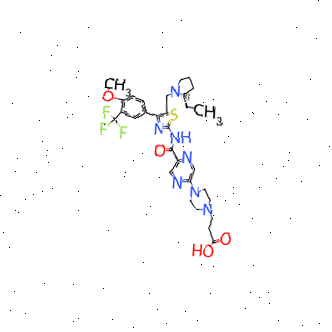 CC[C@@H]1CCCN1Cc1sc(NC(=O)c2cnc(N3CCN(CCC(=O)O)CC3)cn2)nc1-c1ccc(OC)c(C(F)(F)F)c1